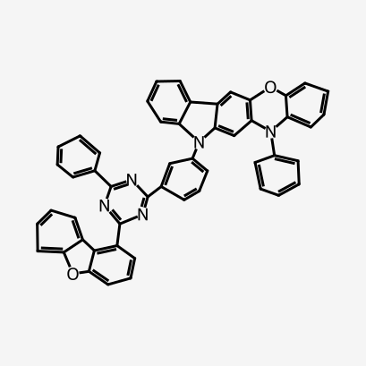 c1ccc(-c2nc(-c3cccc(-n4c5ccccc5c5cc6c(cc54)N(c4ccccc4)c4ccccc4O6)c3)nc(-c3cccc4oc5ccccc5c34)n2)cc1